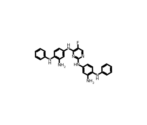 Nc1cc(Nc2ncc(F)c(Nc3ccc(Nc4ccccc4)c(N)c3)n2)ccc1Nc1ccccc1